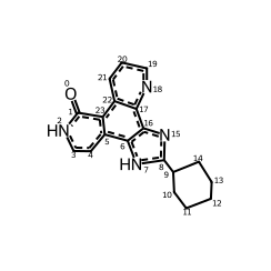 O=c1[nH]ccc2c3[nH]c(C4CCCCC4)nc3c3ncccc3c12